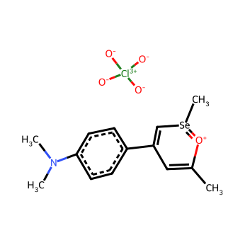 CC1=CC(c2ccc(N(C)C)cc2)=C[Se](C)=[O+]1.[O-][Cl+3]([O-])([O-])[O-]